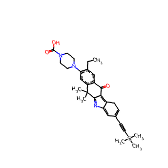 CCc1cc2c(cc1N1CCN(C(=O)O)CC1)C(C)(C)C1=NC3=CC(C#C[Si](C)(C)C)=CCC3=C1C2=O